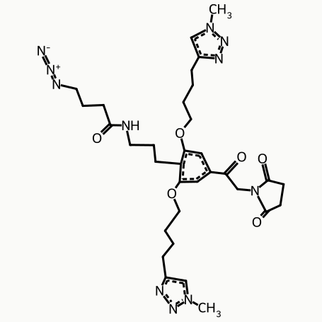 Cn1cc(CCCCOc2cc(C(=O)CN3C(=O)CCC3=O)cc(OCCCCc3cn(C)nn3)c2CCCNC(=O)CCCN=[N+]=[N-])nn1